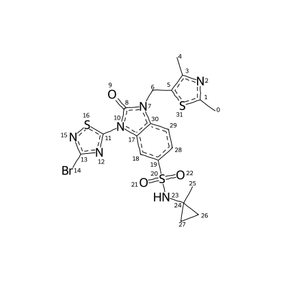 Cc1nc(C)c(Cn2c(=O)n(-c3nc(Br)ns3)c3cc(S(=O)(=O)NC4(C)CC4)ccc32)s1